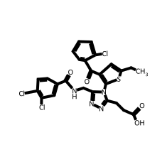 CCc1cc(C(=O)c2ccccc2Cl)c(-n2c(CCC(=O)O)nnc2CNC(=O)c2ccc(Cl)c(Cl)c2)s1